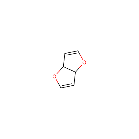 C1=CC2OC=CC2O1